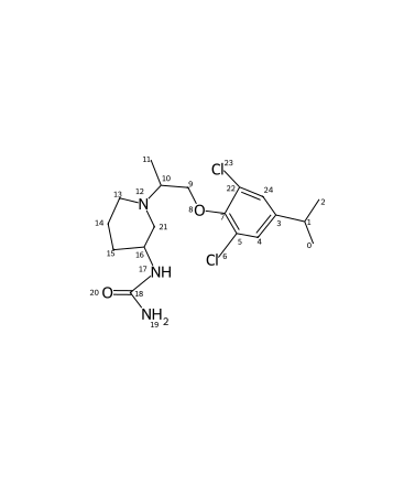 CC(C)c1cc(Cl)c(OCC(C)N2CCCC(NC(N)=O)C2)c(Cl)c1